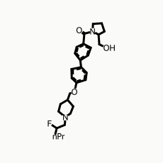 CCCC(F)CN1CCC(COc2ccc(-c3ccc(C(=O)N4CCCC4CO)cc3)cc2)CC1